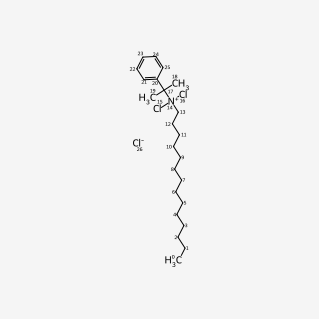 CCCCCCCCCCCCCC[N+](Cl)(Cl)C(C)(C)c1ccccc1.[Cl-]